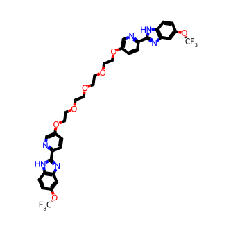 FC(F)(F)Oc1ccc2[nH]c(-c3ccc(OCCOCCOCCOCCOc4ccc(-c5nc6cc(OC(F)(F)F)ccc6[nH]5)nc4)cn3)nc2c1